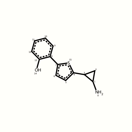 NC1CC1c1ccc(-c2ccccc2O)s1